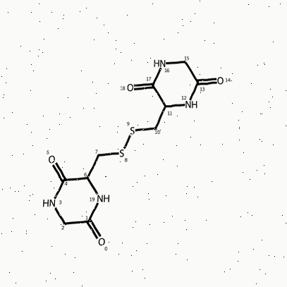 O=C1CNC(=O)C(CSSCC2NC(=O)CNC2=O)N1